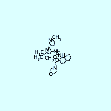 Cc1ccc(-n2nc(C(C)(C)C)cc2NC(=O)Nc2c(OCCN3CCOCC3)ccc3ccccc23)cn1